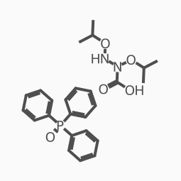 CC(C)ONN(OC(C)C)C(=O)O.O=P(c1ccccc1)(c1ccccc1)c1ccccc1